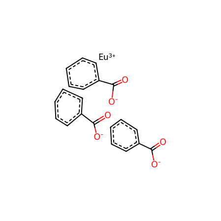 O=C([O-])c1ccccc1.O=C([O-])c1ccccc1.O=C([O-])c1ccccc1.[Eu+3]